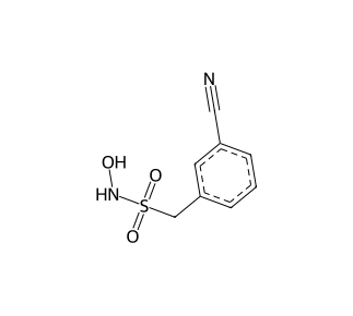 N#Cc1cccc(CS(=O)(=O)NO)c1